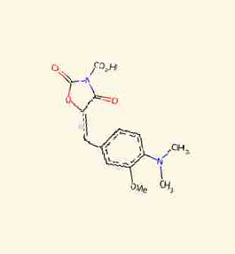 COc1cc(/C=C2/OC(=O)N(C(=O)O)C2=O)ccc1N(C)C